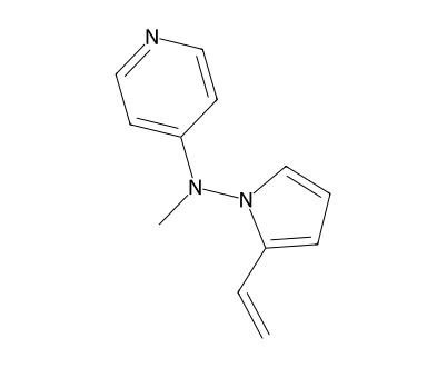 C=Cc1cccn1N(C)c1ccncc1